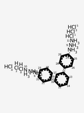 Cl.Cl.Cl.Cl.Cl.Cl.N.N.N.N.N.N.c1ccccc1.c1ccccc1.c1ccccc1